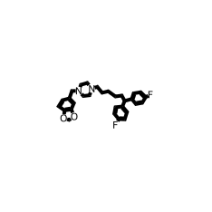 Fc1ccc(C(CCCCCN2CCN(Cc3ccc4c(c3)OCO4)CC2)c2ccc(F)cc2)cc1